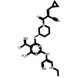 CCN/C=C(\C=N)Nc1nc(N)c(C(=N)Cl)c(S[C@@H]2CCCN(C(=O)/C(C#N)=C/C3CC3)C2)n1